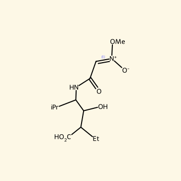 CCC(C(=O)O)C(O)C(NC(=O)/C=[N+](\[O-])OC)C(C)C